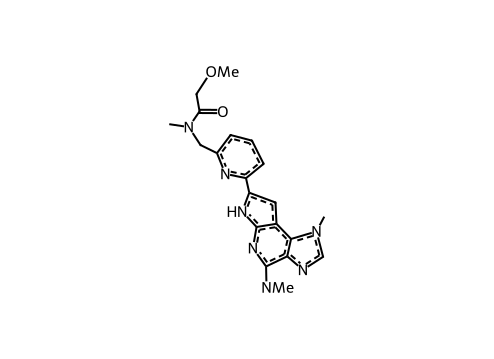 CNc1nc2[nH]c(-c3cccc(CN(C)C(=O)COC)n3)cc2c2c1ncn2C